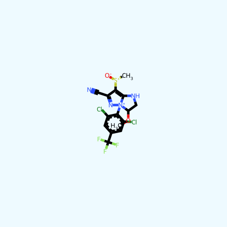 COC1CNC2=C([S+](C)[O-])C(C#N)=N[N+]21c1c(Cl)cc(C(F)(F)F)cc1Cl